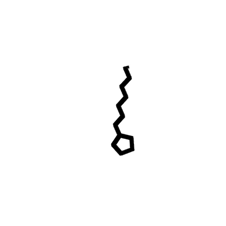 [CH2]CCCCCCC1CCCC1